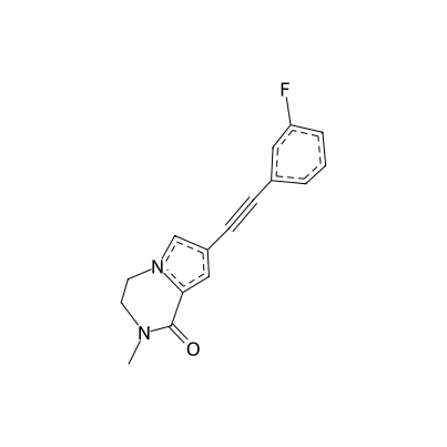 CN1CCn2cc(C#Cc3cccc(F)c3)cc2C1=O